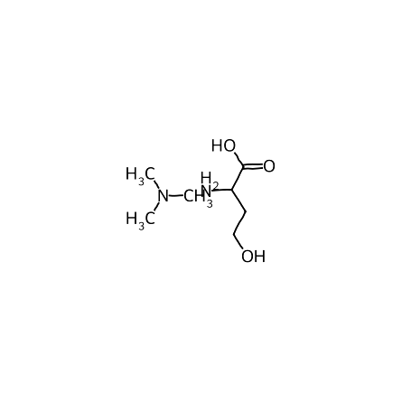 CN(C)C.NC(CCO)C(=O)O